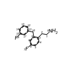 NCCc1ccc(F)cc1Cc1cccc(F)c1